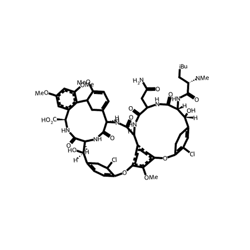 CCC(C)C[C@H](NC)C(=O)N[C@H]1C(=O)NC(CC(N)=O)C(=O)N[C@H]2C(=O)N[C@H]3C(=O)N[C@H](C(=O)N[C@@H](C(=O)O)c4cc(OC)cc(OC)c4C4CC3=CC=C4OC)[C@H](O)C3=CC=C(Oc4cc2cc(c4OC)OC2=C(Cl)C=C(CC2)[C@H]1O)C(Cl)C3